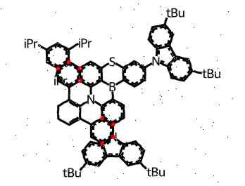 CC(C)c1cc(C(C)C)c(-c2cc3c4c(c2)N(C2=C(c5ccccc5)CCC=C2c2ccccc2)c2cc(-n5c6ccc(C(C)(C)C)cc6c6cc(C(C)(C)C)ccc65)ccc2B4c2ccc(-n4c5ccc(C(C)(C)C)cc5c5cc(C(C)(C)C)ccc54)cc2S3)c(C(C)C)c1